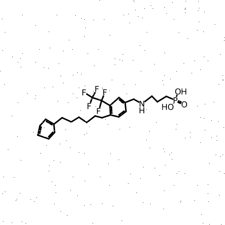 O=P(O)(O)CCCNCc1ccc(CCCCCCc2ccccc2)c(C(F)(F)C(F)(F)F)c1